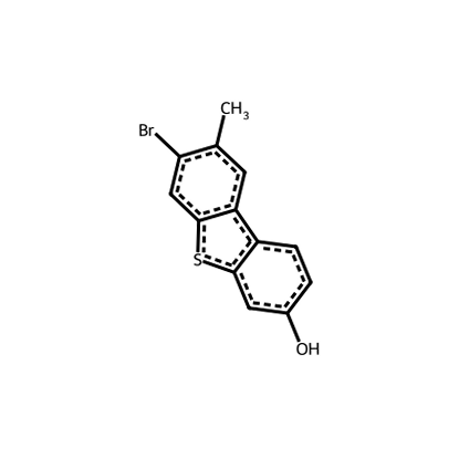 Cc1cc2c(cc1Br)sc1cc(O)ccc12